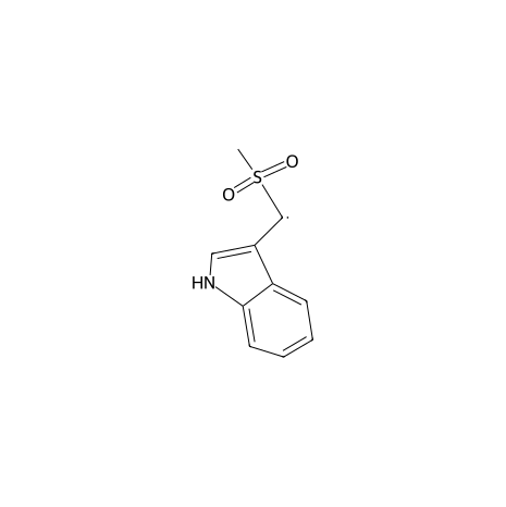 CS(=O)(=O)[CH]c1c[nH]c2ccccc12